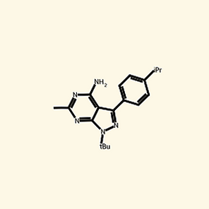 Cc1nc(N)c2c(-c3ccc(C(C)C)cc3)nn(C(C)(C)C)c2n1